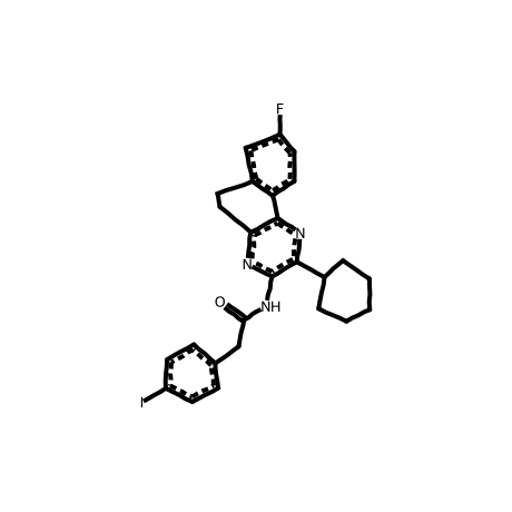 O=C(Cc1ccc(I)cc1)Nc1nc2c(nc1C1CCCCC1)-c1ccc(F)cc1CC2